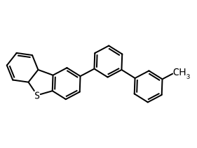 Cc1cccc(-c2cccc(-c3ccc4c(c3)C3C=CC=CC3S4)c2)c1